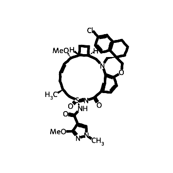 COc1nn(C)cc1C(=O)N[S@@]1(=O)=NC(=O)c2ccc3c(c2)N(C[C@@H]2CC[C@H]2[C@@H](OC)/C=C\C[C@H](C)C1)C[C@@]1(CCCc2cc(Cl)ccc21)CO3